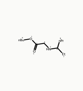 CCCCOC(=O)CNC(CC)CCC